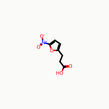 O=C(O)CCc1ccc([N+](=O)[O-])o1